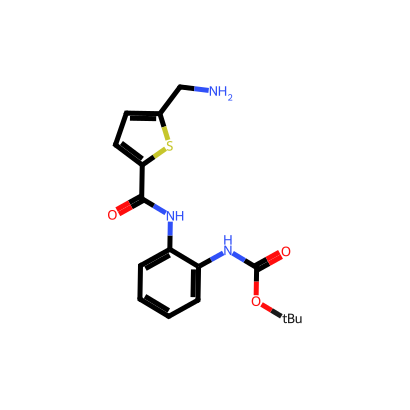 CC(C)(C)OC(=O)Nc1ccccc1NC(=O)c1ccc(CN)s1